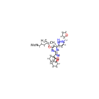 CNCCC[C@H](C)[C@H](C)Oc1cc(C(=N)/C=C\NC[C@@H]2CCCO2)nc(-c2noc3c2CCC[C@@]32CCCCC2=O)n1